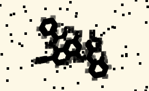 CC[C@@H](Nc1c(C#N)cnc2c(N[C@H](c3c[nH]nn3)c3ccccc3F)cc(Cl)cc12)c1ccccc1